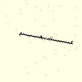 CCC(C)CCCCCCCCCCCCCCCC(=O)OCCSCCOC(=O)CCCCCCCCCCCCCCCC(C)CC